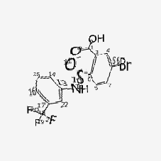 O=C(O)c1cc(Br)ccc1[S+]([O-])Nc1cccc(C(F)(F)F)c1